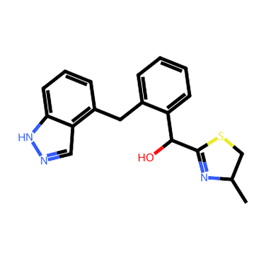 CC1CSC(C(O)c2ccccc2Cc2cccc3[nH]ncc23)=N1